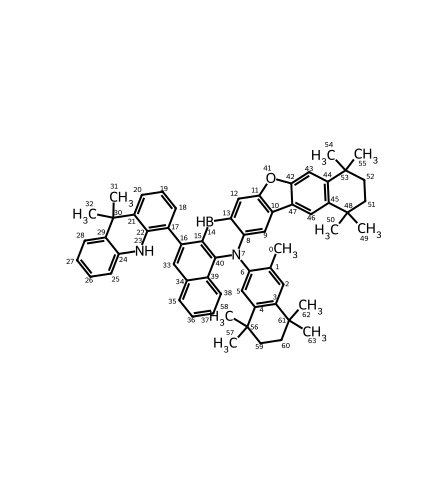 Cc1cc2c(cc1N1c3cc4c(cc3Bc3c(-c5cccc6c5Nc5ccccc5C6(C)C)cc5ccccc5c31)oc1cc3c(cc14)C(C)(C)CCC3(C)C)C(C)(C)CCC2(C)C